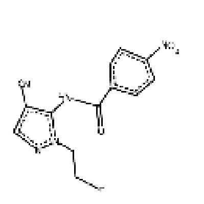 N#Cc1cnn(CCF)c1NC(=O)c1ccc([N+](=O)[O-])cc1